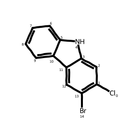 Clc1cc2[nH]c3ccccc3c2cc1Br